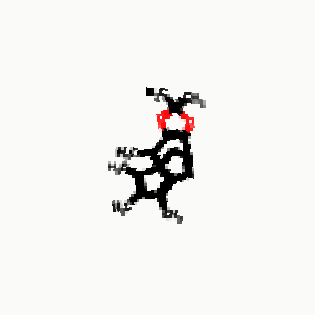 CC1=C(C)C23CC(=CC2=C1C)C1=C(OC(C)(C)O1)C3C